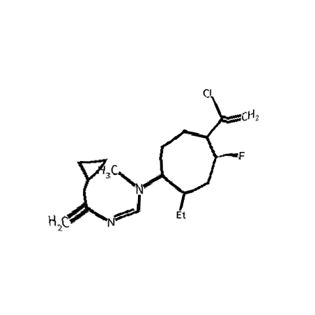 C=C(/N=C\N(C)C1CCC(C(=C)Cl)[C@@H](F)CC1CC)C1CC1